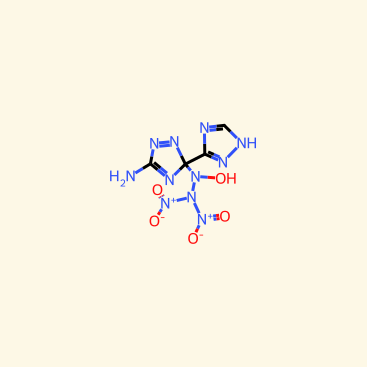 NC1=NC(c2nc[nH]n2)(N(O)N([N+](=O)[O-])[N+](=O)[O-])N=N1